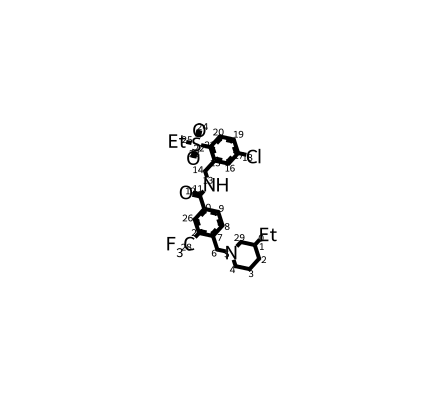 CCC1CCCN(Cc2ccc(C(=O)NCc3cc(Cl)ccc3S(=O)(=O)CC)cc2C(F)(F)F)C1